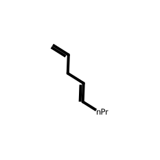 C=CCC=CCCC